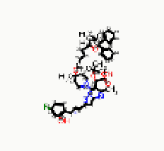 Cc1nc2cc(/C=C/Cc3ccc(F)cc3O)nn2c(N2CCC(C)(OCCCC[C@@H](C)O[Si](c3ccccc3)(c3ccccc3)C(C)(C)C)CC2)c1C(OC(C)(C)C)C(=O)O